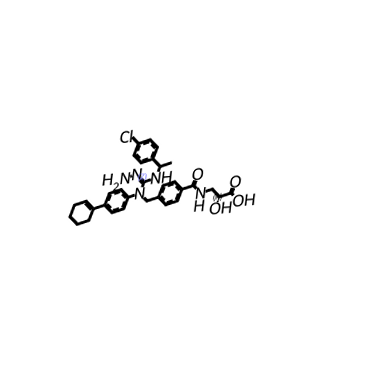 CC(N/C(=N/N)N(Cc1ccc(C(=O)NC[C@@H](O)C(=O)O)cc1)c1ccc(C2=CCCCC2)cc1)c1ccc(Cl)cc1